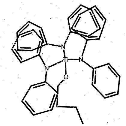 CCCC[O][Ti]([N](c1ccccc1)c1ccccc1)([N](c1ccccc1)c1ccccc1)[N](c1ccccc1)c1ccccc1